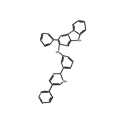 C1=NC(c2cccc(Nc3cc4[nH]c5ccccc5c4cc3-c3ccccc3)c2)NC=C1c1ccccc1